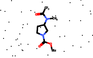 CN(C(=O)C(F)(F)F)C1CCN(C(=O)OC(C)(C)C)C1